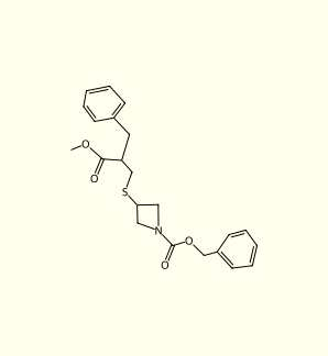 COC(=O)C(CSC1CN(C(=O)OCc2ccccc2)C1)Cc1ccccc1